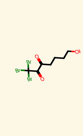 O=C(CCCCO)C(=O)C(Br)(Br)Br